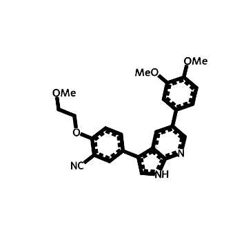 COCCOc1ccc(-c2c[nH]c3ncc(-c4ccc(OC)c(OC)c4)cc23)cc1C#N